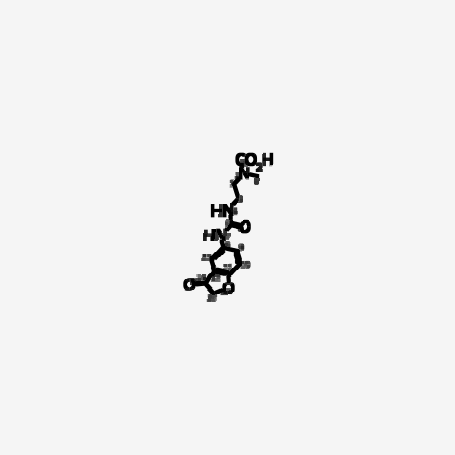 CN(CCNC(=O)Nc1ccc2c(c1)C(=O)CO2)C(=O)O